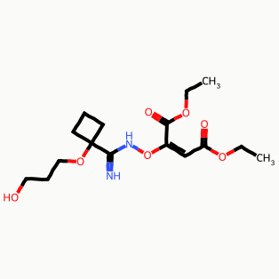 CCOC(=O)C=C(ONC(=N)C1(OCCCO)CCC1)C(=O)OCC